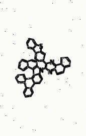 c1ccc2c(c1)ccc1nc(-n3c4ccc5ccccc5c4c4c5c6ccccc6c6ccccc6c5ccc43)c(-c3ccc4c(c3)sc3ccccc34)nc12